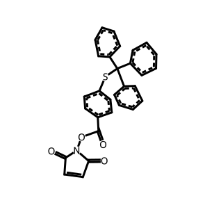 O=C(ON1C(=O)C=CC1=O)c1ccc(SC(c2ccccc2)(c2ccccc2)c2ccccc2)cc1